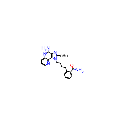 CCCCc1nc2c(N)nc3cccnc3c2n1CCCCc1ccccc1C(N)=O